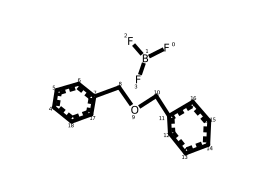 FB(F)F.c1ccc(COCc2ccccc2)cc1